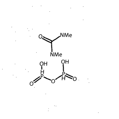 CNC(=O)NC.O=[PH](O)O[PH](=O)O